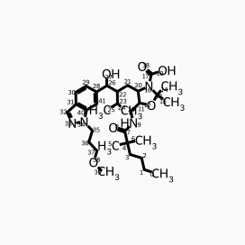 CCCCC(C)(C)C(=O)NCC1OC(C)(C)N(C(=O)O)C1CC(C(C)C)C(O)c1ccc2cnn(CCCOC)c2c1